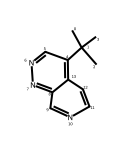 CC(C)(C)c1cnnc2cnccc12